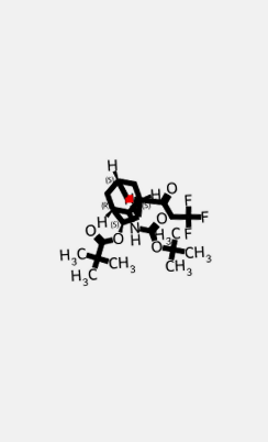 CC(C)(C)OC(=O)NC1[C@@H]2C[C@H]3C[C@H]1[C@H](OC(=O)C(C)(C)C)C2N(C(=O)CC(F)(F)F)C3